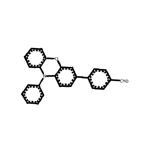 O=Cc1ccc(-c2ccc3c(c2)Oc2ccccc2N3c2ccccc2)cc1